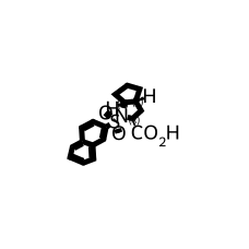 O=C(O)[C@H]1C[C@H]2CCC[C@H]2N1S(=O)(=O)c1ccc2ccccc2c1